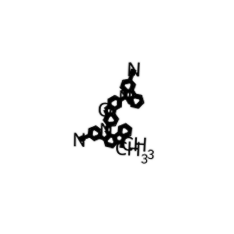 CC1(C)c2ccccc2-c2c1ccc1c3cc(C#N)ccc3n(-c3ccc4c(c3)oc3ccc(-n5c6ccccc6c6cc(C#N)ccc65)cc34)c21